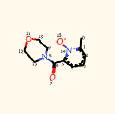 Cc1cccc(C(=O)N2CCOCC2)[n+]1[O-]